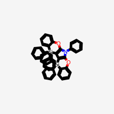 c1ccc(-n2c3c(c4c2Oc2ccccc2[Si]4(c2ccccc2)c2ccccc2)[Si](c2ccccc2)(c2ccccc2)c2ccccc2O3)cc1